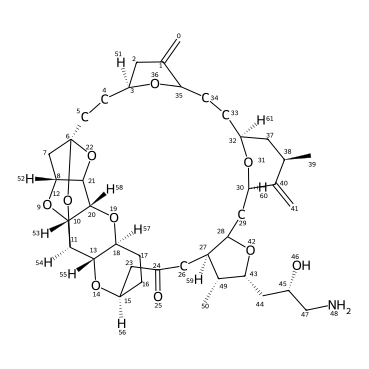 C=C1C[C@@H]2CC[C@@]34C[C@H]5O[C@H]6[C@@H](O3)[C@H]3O[C@H](CC[C@@H]3O[C@H]6C5O4)CC(=O)C[C@H]3C(C[C@H]4O[C@@H](CCC1O2)C[C@@H](C)C4=C)O[C@H](C[C@H](O)CN)[C@@H]3C